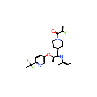 C=C(F)C(=O)N1CCC(/C(=N/C(C)=C\C)C(=C)Oc2ccc(C(C)(F)F)nc2)CC1